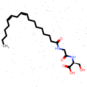 CCCCC/C=C\C/C=C\CCCCCCCC(=O)NCC(=O)N[C@@H](CO)C(=O)O